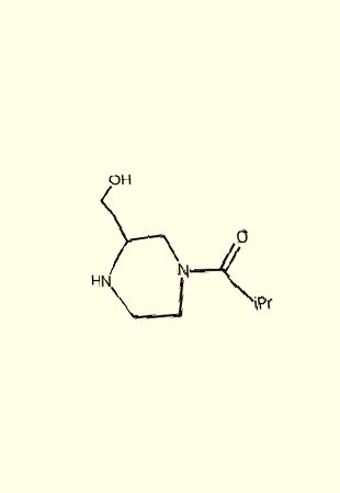 CC(C)C(=O)N1CCNC(CO)C1